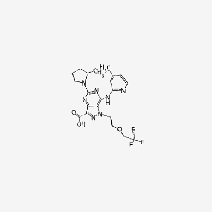 Cc1ccnc(Nc2nc(N3CCCC3C)nc3c(C(=O)O)nn(CCOCC(F)(F)F)c23)c1